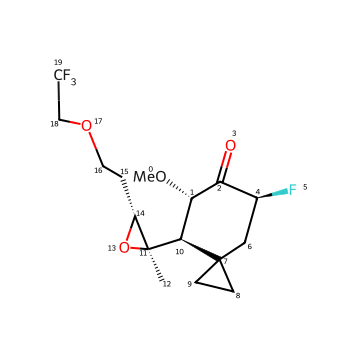 CO[C@@H]1C(=O)[C@@H](F)CC2(CC2)[C@H]1[C@@]1(C)O[C@@H]1CCOCC(F)(F)F